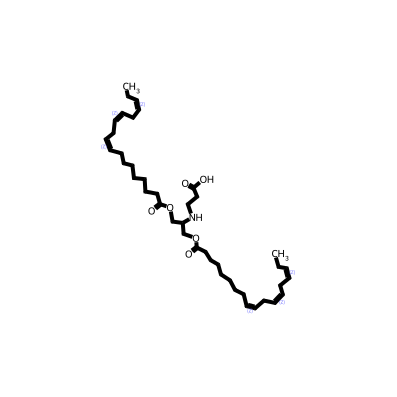 CC/C=C\C/C=C\C/C=C\CCCCCCCC(=O)OCC(COC(=O)CCCCCCC/C=C\C/C=C\C/C=C\CC)NCCC(=O)O